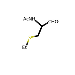 CCSCC([C]=O)NC(C)=O